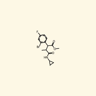 COC(=O)C(c1ccc(F)cc1Br)C(C)C(=O)NC1CC1